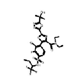 CCC(NS(=O)(=O)c1ccc(-c2sc(-c3nnc(C(C)(C)O)o3)nc2C(=O)N(CC)CC)c(Cl)c1F)C(F)(F)F